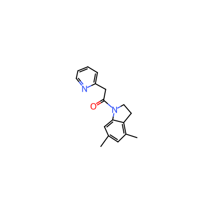 Cc1cc(C)c2c(c1)N(C(=O)Cc1ccccn1)CC2